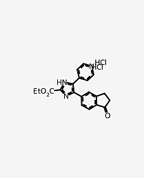 CCOC(=O)c1nc(-c2ccc3c(c2)CCC3=O)c(-c2ccncc2)[nH]1.Cl.Cl